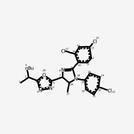 CCCCC(C)c1nnc(C2N=C(c3ccc(Cl)cc3Cl)N(c3ccc(Cl)cc3)C2C)o1